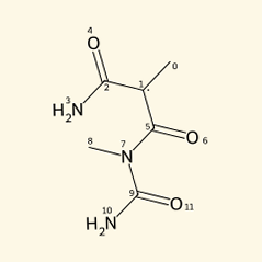 C[C](C(N)=O)C(=O)N(C)C(N)=O